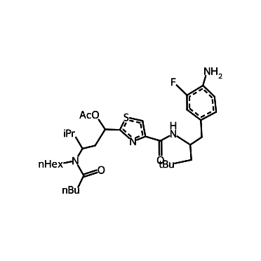 CCCCCCN(C(=O)CCCC)C(CC(OC(C)=O)c1nc(C(=O)NC(Cc2ccc(N)c(F)c2)CC(C)(C)C)cs1)C(C)C